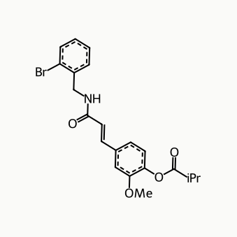 COc1cc(/C=C/C(=O)NCc2ccccc2Br)ccc1OC(=O)C(C)C